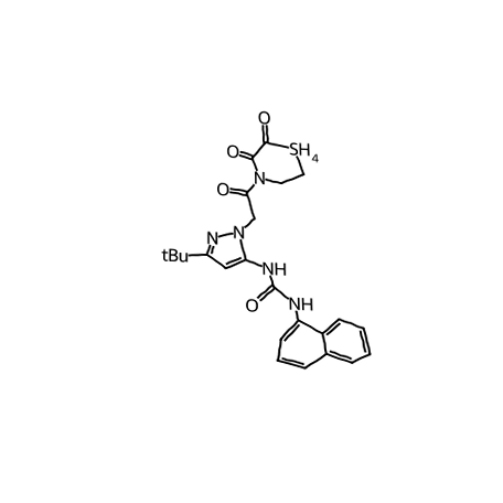 CC(C)(C)c1cc(NC(=O)Nc2cccc3ccccc23)n(CC(=O)N2CC[SH4]C(=O)C2=O)n1